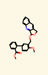 COC(=O)c1ccccc1-c1ccc(OC)c(COC2OCc3cc4ccccc4nc32)c1